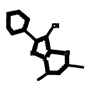 Cc1cc(C)n2nc(-c3ccccc3)c(C#N)c2n1